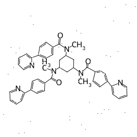 CN(C(=O)c1ccc(-c2ccccn2)cc1)C1CC(N(C)C(=O)c2ccc(-c3ccccn3)cc2)CC(N(C)C(=O)c2ccc(-c3ccccn3)cc2)C1